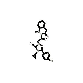 COc1ccccc1Cc1nnc(CN2N=C(c3ccc(Cl)cc3)N(C3CC3)C2C=O)[nH]1